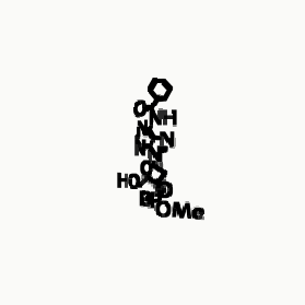 CO[PH](=O)O[C@H]1C[C@H](n2cnc3c(NC(=O)c4ccccc4)ncnc32)O[C@@H]1CO